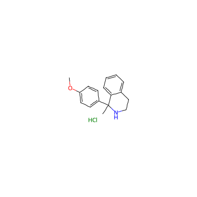 COc1ccc(C2(C)NCCc3ccccc32)cc1.Cl